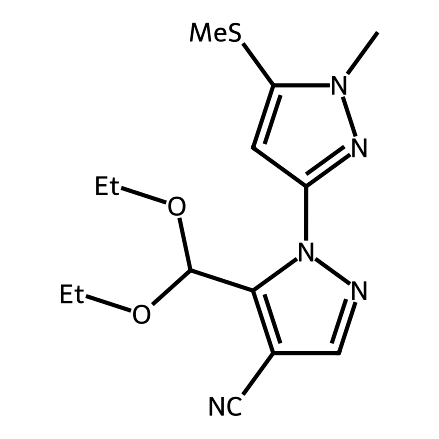 CCOC(OCC)c1c(C#N)cnn1-c1cc(SC)n(C)n1